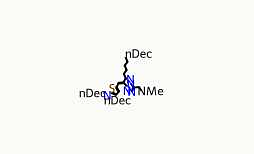 CCCCCCCCCCCCCCCc1nn2c(CNC)nnc2/c1=C\c1ccc(N(CCCCCCCCCC)CCCCCCCCCC)s1